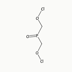 O=[P](COCl)COCl